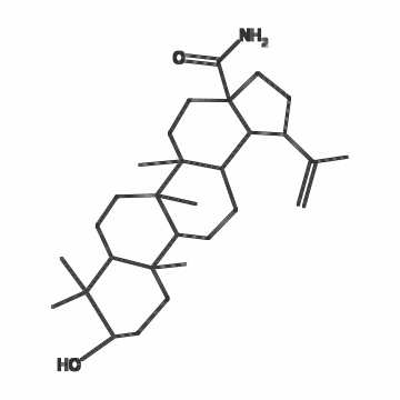 C=C(C)C1CCC2(C(N)=O)CCC3(C)C(CCC4C5(C)CCC(O)C(C)(C)C5CCC43C)C12